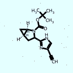 C#Cc1c[nH]c(C2C[C@H]3C[C@H]3N2C(=O)OC(C)(C)C)n1